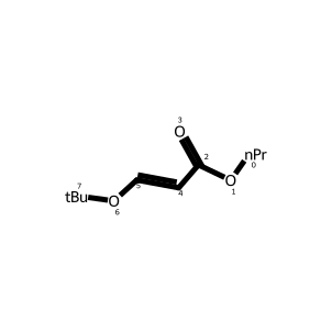 CCCOC(=O)/C=C/OC(C)(C)C